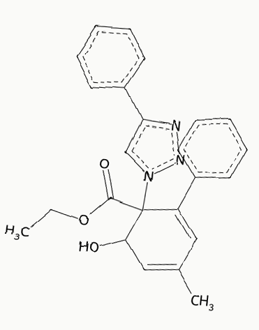 CCOC(=O)C1(n2cc(-c3ccccc3)nn2)C(c2ccccc2)=CC(C)=CC1O